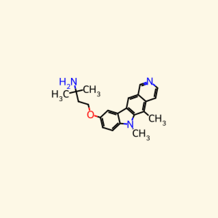 Cc1c2ccncc2cc2c3cc(OCCC(C)(C)N)ccc3n(C)c12